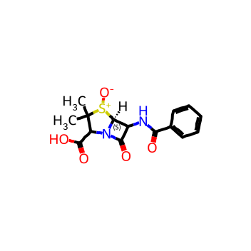 CC1(C)C(C(=O)O)N2C(=O)C(NC(=O)c3ccccc3)[C@@H]2[S+]1[O-]